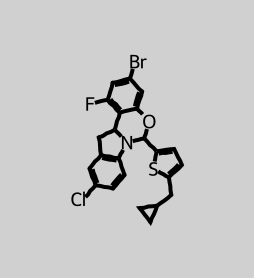 Fc1cc(Br)cc2c1C1Cc3cc(Cl)ccc3N1C(c1ccc(CC3CC3)s1)O2